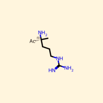 CC(=O)[C@@](C)(N)CCCNC(=N)N